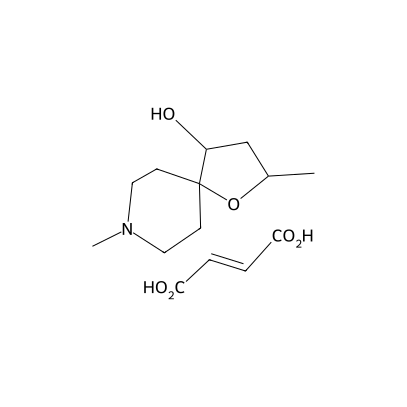 CC1CC(O)C2(CCN(C)CC2)O1.O=C(O)/C=C/C(=O)O